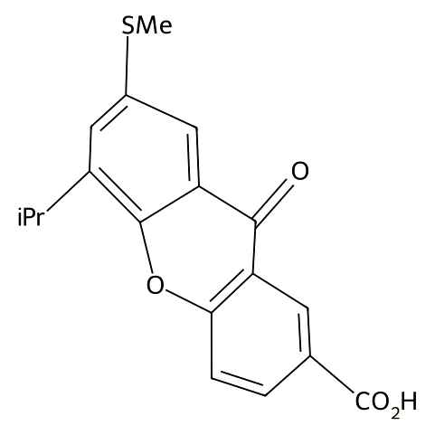 CSc1cc(C(C)C)c2oc3ccc(C(=O)O)cc3c(=O)c2c1